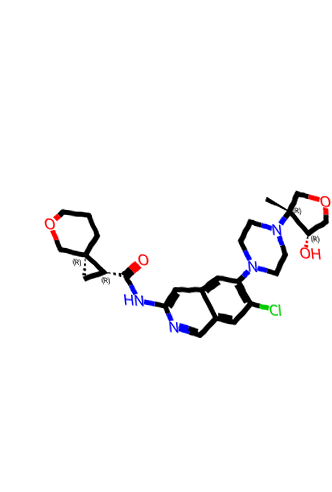 C[C@@]1(N2CCN(c3cc4cc(NC(=O)[C@@H]5C[C@]56CCCOC6)ncc4cc3Cl)CC2)COC[C@@H]1O